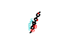 C=CC1CCC(C2CCC(c3cc4oc5cc(OCCC)c(F)c(F)c5c4c(F)c3F)CC2)CC1